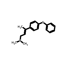 CC(=CCN(C)C)c1ccc(Sc2ccccc2)cc1